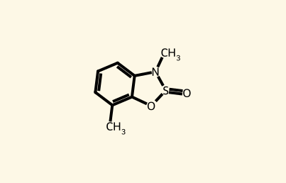 Cc1cccc2c1OS(=O)N2C